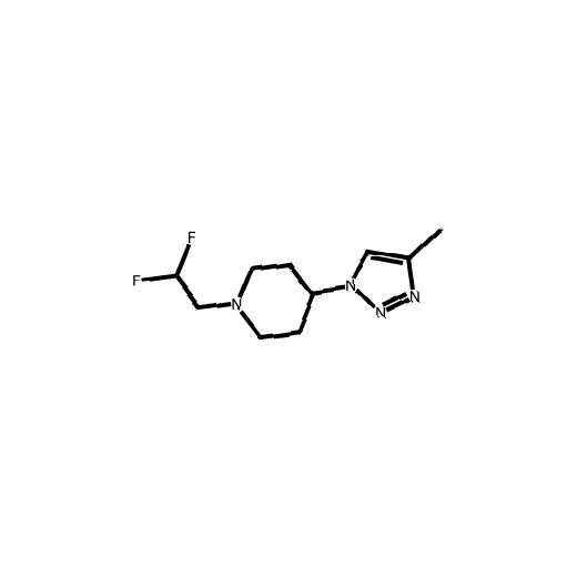 Cc1cn(C2CCN(CC(F)F)CC2)nn1